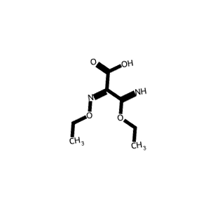 CCO/N=C(\C(=N)OCC)C(=O)O